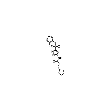 O=C(CCC1CCCC1)Nc1nnc(S(=O)(=O)Cc2ccccc2F)s1